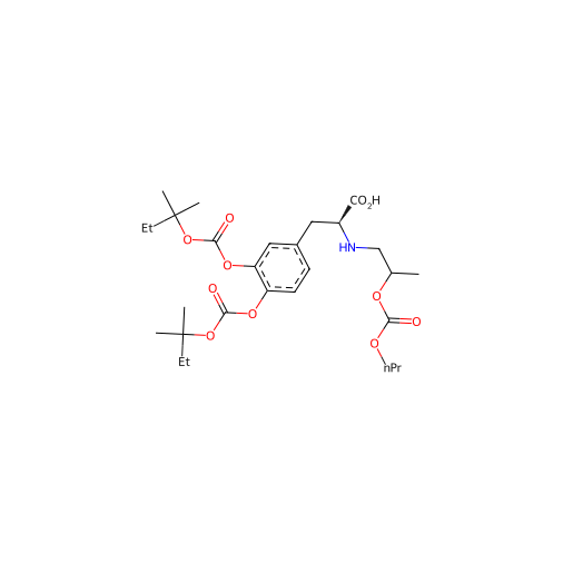 CCCOC(=O)OC(C)CN[C@@H](Cc1ccc(OC(=O)OC(C)(C)CC)c(OC(=O)OC(C)(C)CC)c1)C(=O)O